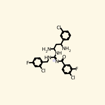 NC(CC(N)c1cccc(Cl)c1)N/C(=N\C(=O)c1ccc(Cl)c(F)c1)NCc1ccc(F)cc1Cl